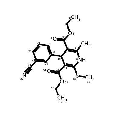 CCOC(=O)C1=C(C)NC(SC)=C(C(=O)OCC)C1c1cccc(C#N)c1